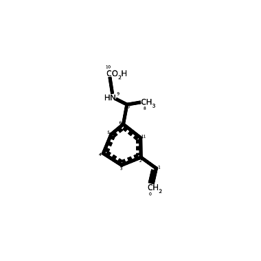 C=Cc1cccc(C(C)NC(=O)O)c1